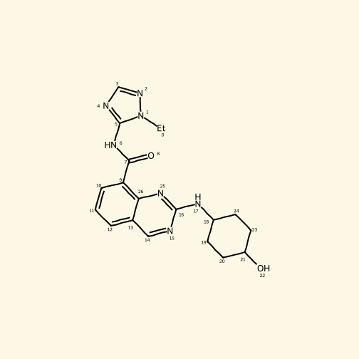 CCn1ncnc1NC(=O)c1cccc2cnc(NC3CCC(O)CC3)nc12